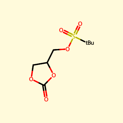 CC(C)(C)S(=O)(=O)OCC1COC(=O)O1